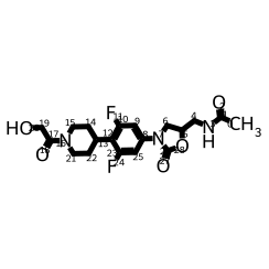 CC(=O)NCC1CN(c2cc(F)c(C3CCN(C(=O)CO)CC3)c(F)c2)C(=O)O1